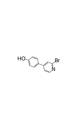 Oc1ccc(-c2ccnc(Br)c2)cc1